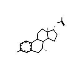 CCCC(=O)O[C@H]1CCC2C3C(CC[C@@]21C)c1ccc(O)cc1C[C@@H]3CC